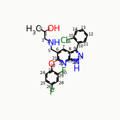 CC(O)CNCc1cc2c(-c3ccccc3Cl)n[nH]c2nc1Oc1ccc(F)cc1F